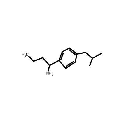 CC(C)Cc1ccc(C(N)CCN)cc1